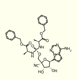 C[C@H](NP(=O)(N[C@@H](C)C(=O)OCc1ccccc1)OC[C@@]1(C#N)O[C@@H](c2ccc3c(N)ncnn23)[C@H](O)[C@@H]1O)C(=O)OCc1ccccc1